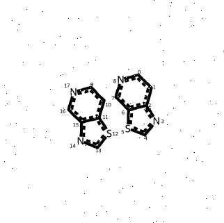 c1cc2ncsc2cn1.c1cc2scnc2cn1